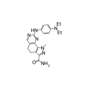 CCN(CC)c1ccc(Nc2ncc3c(n2)-c2c(c(C(N)=O)nn2C)CC3)cc1